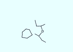 C1CCCCC1.CCC(C)OC(C)CC